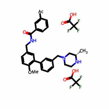 COc1ccc(CNC(=O)c2cccc(C(C)=O)c2)cc1-c1cccc(CN2CCN[C@@H](C)C2)c1.O=C(O)C(F)(F)F.O=C(O)C(F)(F)F